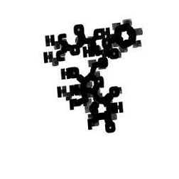 CC(C)OC(=O)[C@H](C)N[P@](=O)(OC[C@H]1O[C@@H](n2cc(F)c(=O)[nH]c2=O)[C@@](N)(CF)C1O)Oc1ccccc1